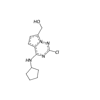 OCc1ccc2c(NC3CCCC3)nc(Cl)nn12